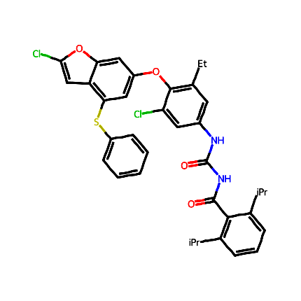 CCc1cc(NC(=O)NC(=O)c2c(C(C)C)cccc2C(C)C)cc(Cl)c1Oc1cc(Sc2ccccc2)c2cc(Cl)oc2c1